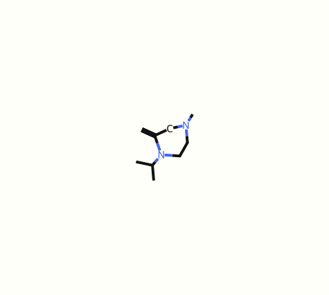 C=C1CN(C)CCN1C(C)C